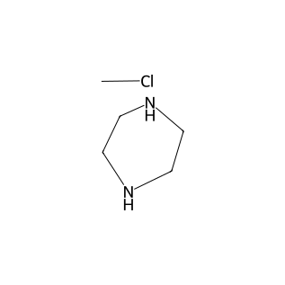 C1CNCCN1.CCl